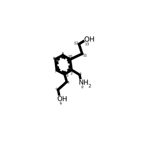 NCc1c(CCO)cccc1CCO